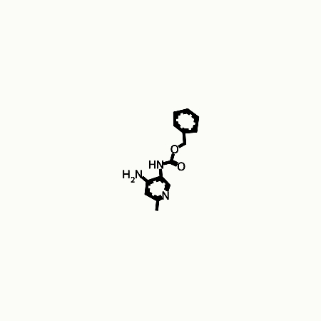 Cc1cc(N)c(NC(=O)OCc2ccccc2)cn1